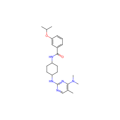 Cc1cnc(NC2CCC(NC(=O)c3cccc(OC(C)C)c3)CC2)nc1N(C)C